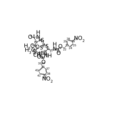 C[C@@H](O[Si](C)(C)C(C)(C)C)[C@H]1C(=O)N[C@@H]1SC(=S)SC(CNC(=O)OCc1ccc([N+](=O)[O-])cc1)CNC(=O)OCc1ccc([N+](=O)[O-])cc1